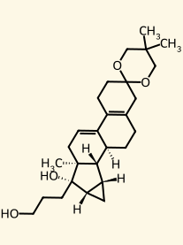 CC1(C)COC2(CCC3=C(CC[C@@H]4C3=CC[C@@]3(C)[C@H]4[C@@H]4C[C@@H]4[C@@]3(O)CCCO)C2)OC1